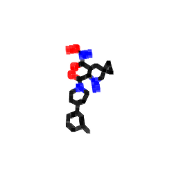 Cc1cccc(C2=CCN(C(=O)C3NCC4(CC4)CC3C(=O)NO)CC2)c1